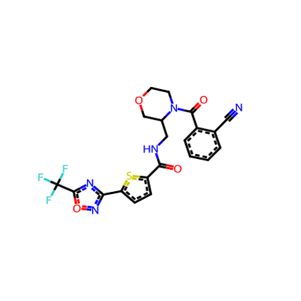 N#Cc1ccccc1C(=O)N1CCOCC1CNC(=O)c1ccc(-c2noc(C(F)(F)F)n2)s1